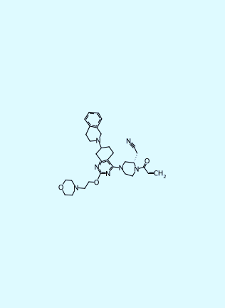 C=CC(=O)N1CCN(c2nc(OCCN3CCOCC3)nc3c2CCC(N2CCc4ccccc4C2)C3)C[C@@H]1CC#N